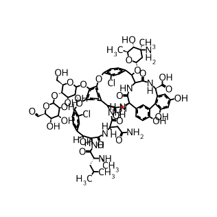 CN[C@H](CC(C)C)C(=O)N[C@H]1C(=O)N[C@@H](CC(N)=O)C(=O)N[C@H]2C(=O)N[C@H]3C(=O)NC(C(=O)N[C@@H](C(=O)O)c4cc(O)cc(O)c4-c4cc3ccc4O)C(O[C@H]3C[C@](C)(N)[C@@H](O)[C@H](C)O3)c3ccc(c(Cl)c3)Oc3cc2cc(c3OC2O[C@H](CO)[C@@H](OC3O[C@H](C=O)[C@H](O)[C@H](O)[C@H]3O)[C@H](O)[C@H]2O)Oc2ccc(cc2Cl)[C@H]1O